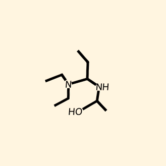 CCC(NC(C)O)N(CC)CC